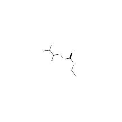 CCNC(=O)OOC(Cl)C(Cl)Cl